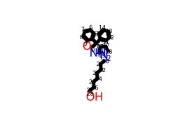 NC(=O)C(c1ccccc1)(c1ccccc1)[C@@H]1CCN(CCCCCCCCO)C1